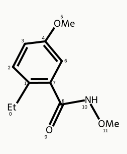 CCc1ccc(OC)cc1C(=O)NOC